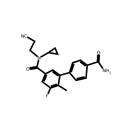 Cc1c(F)cc(C(=O)N(CCC#N)C2CC2)cc1-c1ccc(C(N)=O)cc1